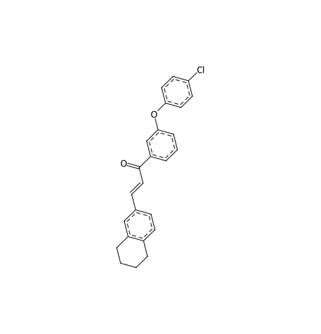 O=C(C=Cc1ccc2c(c1)CCCC2)c1cccc(Oc2ccc(Cl)cc2)c1